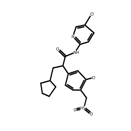 O=C(Nc1ccc(Cl)cn1)C(CC1CCCC1)c1ccc(C[SH](=O)=O)c(Cl)c1